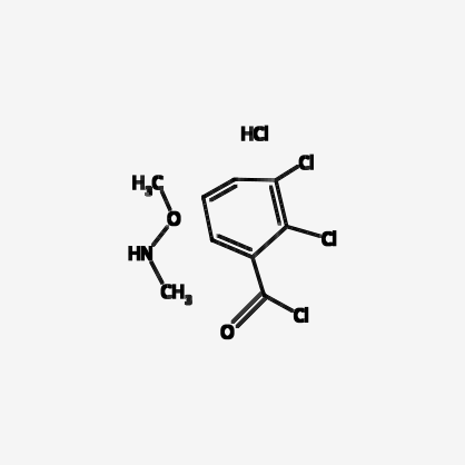 CNOC.Cl.O=C(Cl)c1cccc(Cl)c1Cl